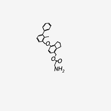 Cc1c(COc2ccc(COC(=O)CN)c3c2CCC3)cccc1-c1ccccc1